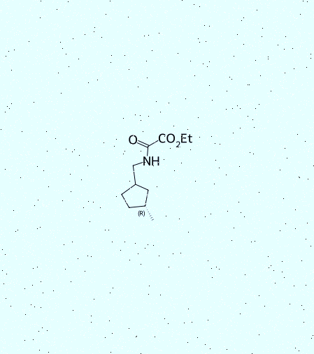 CCOC(=O)C(=O)NCC1CC[C@@H](C)C1